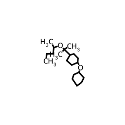 CCCC(C)OC(C)(C)C1CCC(OC2CCCCC2)CC1